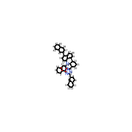 c1ccc(-c2nc(-c3ccc4ccccc4c3)nc(-c3cccc4c3N(c3ccccc3)c3ccc(-c5ccc6ccccc6c5)c5cccc-4c35)n2)cc1